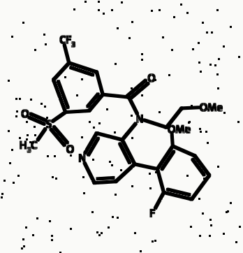 COCCN(C(=O)c1cc(C(F)(F)F)cc(S(C)(=O)=O)c1)c1cnccc1-c1c(F)cccc1OC